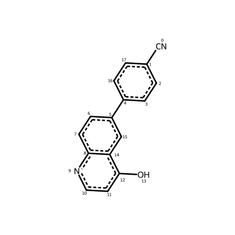 N#Cc1ccc(-c2ccc3nccc(O)c3c2)cc1